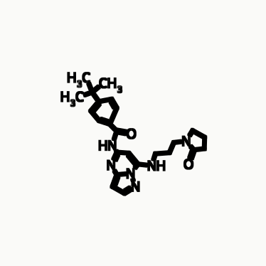 CC(C)(C)c1ccc(C(=O)Nc2cc(NCCCN3CCCC3=O)n3nccc3n2)cc1